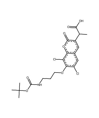 CC(C(=O)O)c1cc2cc(Cl)c(OCCCNC(=O)OC(C)(C)C)c(Cl)c2oc1=O